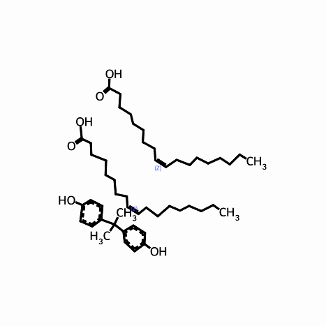 CC(C)(c1ccc(O)cc1)c1ccc(O)cc1.CCCCCCCC/C=C\CCCCCCCC(=O)O.CCCCCCCC/C=C\CCCCCCCC(=O)O